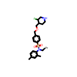 Cc1ccc(N(CC(C)C)S(=O)(=O)c2ccc(COCC3CCNCC3F)cc2)c(C)c1